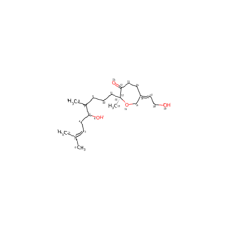 CC(C)=CCC(O)C(C)CCC[C@]1(C)OCC(=CCO)CCC1=O